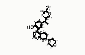 CC(c1ccc(O)c(-c2ncnc3cc(N4CCOCC4)ccc23)c1)c1cnc(O)cn1